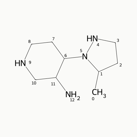 CC1CCNN1C1CCNCC1N